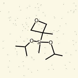 CC(C)O[Si](C)(OC(C)C)C1(C)COC1